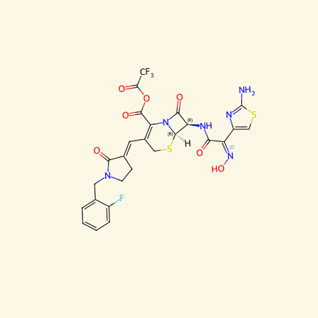 Nc1nc(/C(=N/O)C(=O)N[C@@H]2C(=O)N3C(C(=O)OC(=O)C(F)(F)F)=C(C=C4CCN(Cc5ccccc5F)C4=O)CS[C@H]23)cs1